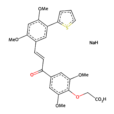 COc1cc(OC)c(-c2cccs2)cc1C=CC(=O)c1cc(OC)c(OCC(=O)O)c(OC)c1.[NaH]